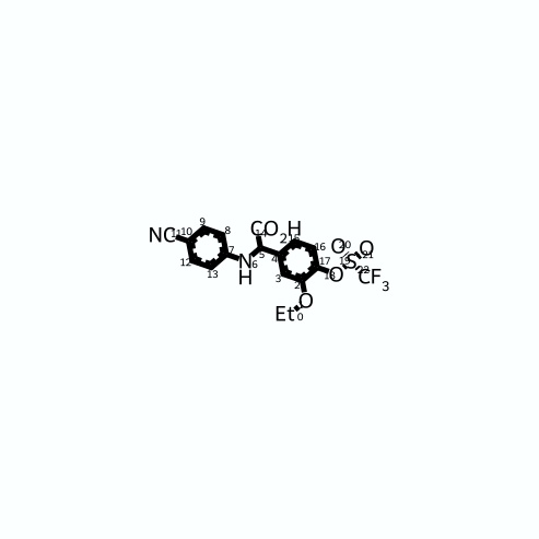 CCOc1cc(C(Nc2ccc(C#N)cc2)C(=O)O)ccc1OS(=O)(=O)C(F)(F)F